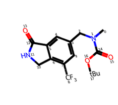 CN(Cc1cc2c(c(C(F)(F)F)c1)CNC2=O)C(=O)OC(C)(C)C